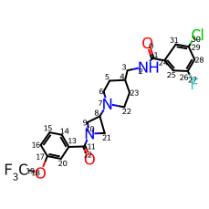 O=C(NCC1CCN(C2CN(C(=O)c3cccc(OC(F)(F)F)c3)C2)CC1)c1cc(F)cc(Cl)c1